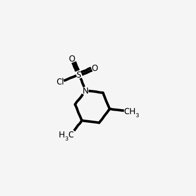 CC1CC(C)CN(S(=O)(=O)Cl)C1